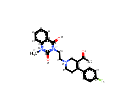 CCC(=O)C1=C(c2ccc(F)cc2)CCN(CCn2c(=O)c3ccccc3n(C)c2=O)C1